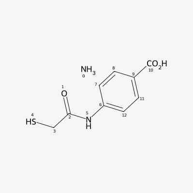 N.O=C(CS)Nc1ccc(C(=O)O)cc1